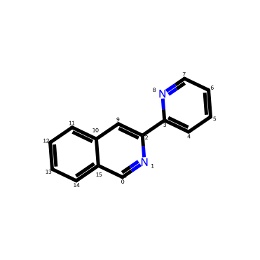 [c]1nc(-c2ccccn2)cc2ccccc12